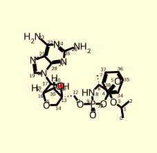 CC(C)OC(=O)[C@@H](C)NP(=O)(OC[C@@]12CO[C@@H](C(n3cnc4c(N)nc(N)nc43)O1)[C@@H]2O)Oc1ccccc1